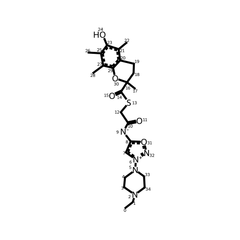 CCN1CCN([n+]2cc([N-]C(=O)CSC(=O)C3(C)CCc4c(C)c(O)c(C)c(C)c4O3)on2)CC1